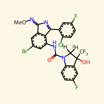 [2H]C1([2H])N(C(=O)Nc2cc(Br)cc3c2C(c2cc(F)ccc2Cl)=N/C3=N/OC)c2ccc(F)cc2C1(O)C(F)(F)F